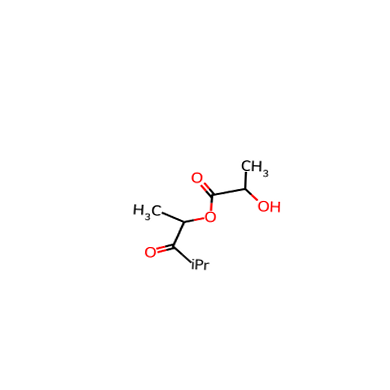 CC(C)C(=O)C(C)OC(=O)C(C)O